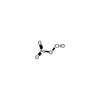 O=CO[As](=O)=O